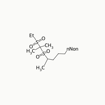 CCCCCCCCCCCCC(C)S(=O)(=O)C(C)(C)S(=O)(=O)CC